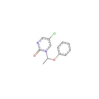 CC(Oc1ccccc1)n1cc(Cl)cnc1=O